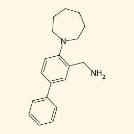 NCc1cc(-c2ccccc2)ccc1N1CCCCCC1